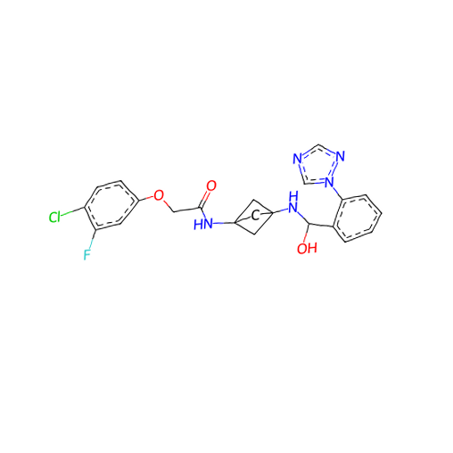 O=C(COc1ccc(Cl)c(F)c1)NC12CC(NC(O)c3ccccc3-n3cncn3)(C1)C2